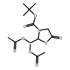 CC(=O)OI(OC(C)=O)C1OC(=O)CN1C(=O)OC(C)(C)C